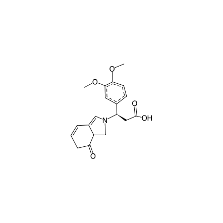 COc1ccc([C@@H](CC(=O)O)N2C=C3C=CCC(=O)C3C2)cc1OC